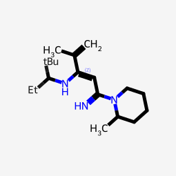 C=C(C)/C(=C/C(=N)N1CCCCC1C)NC(CC)C(C)(C)C